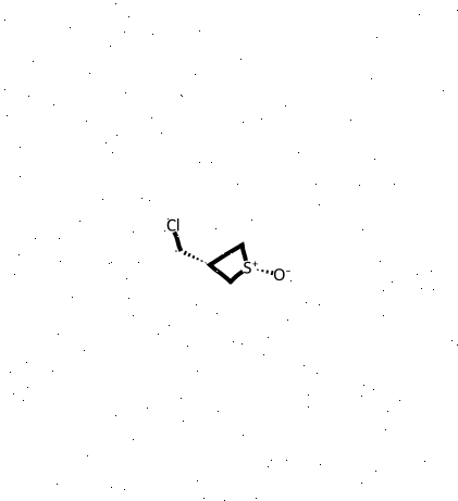 [O-][S@+]1C[C@H]([CH]Cl)C1